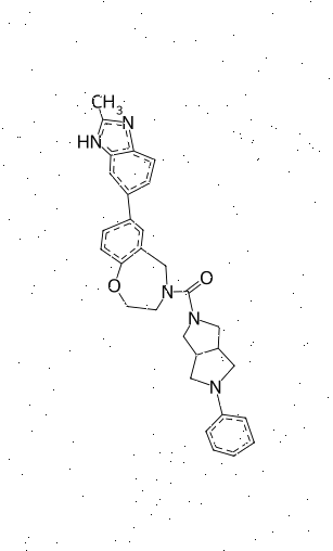 Cc1nc2ccc(-c3ccc4c(c3)CN(C(=O)N3CC5CN(c6ccccc6)CC5C3)CCO4)cc2[nH]1